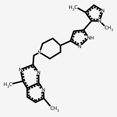 Cc1ccc2c(C)nc(CN3CCC(c4cc(-c5c(C)cnn5C)[nH]n4)CC3)nc2n1